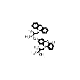 CC(CN1c2ccccc2Sc2ccccc21)N(C)C.CC(CN1c2ccccc2Sc2ccccc21)N(C)C.Cl